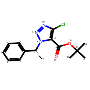 C[C@H](c1ccccc1)n1nnc(Cl)c1C(=O)OC(C)(C)C